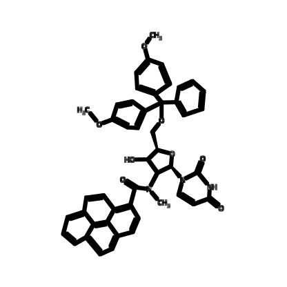 COc1ccc(C(OC[C@H]2O[C@@H](n3ccc(=O)[nH]c3=O)C(N(C)C(=O)c3ccc4ccc5cccc6ccc3c4c56)C2O)(c2ccccc2)c2ccc(OC)cc2)cc1